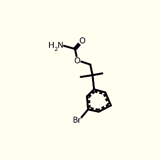 CC(C)(COC(N)=O)c1cccc(Br)c1